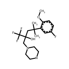 COc1ccc(F)cc1C(C)(C)CC(O)(CN1CC[N]CC1)C(F)(F)F